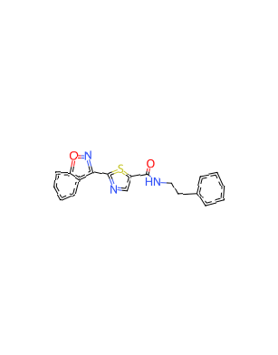 O=C(NCCc1ccccc1)c1cnc(-c2noc3ccccc23)s1